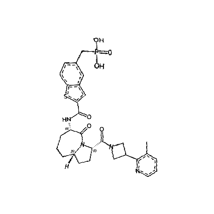 Cc1cccnc1C1CN(C(=O)[C@@H]2CC[C@@H]3CCC[C@H](NC(=O)c4cc5cc(CP(=O)(O)O)ccc5s4)C(=O)N32)C1